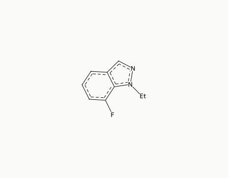 CCn1ncc2cccc(F)c21